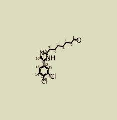 O=CCCCCCCc1ncc(-c2ccc(Cl)c(Cl)c2)[nH]1